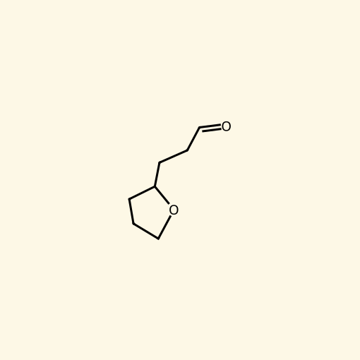 O=CCCC1CCCO1